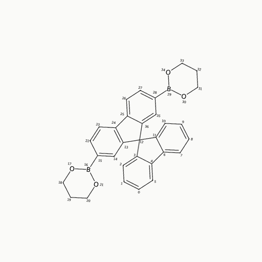 c1ccc2c(c1)-c1ccccc1C21c2cc(B3OCCCO3)ccc2-c2ccc(B3OCCCO3)cc21